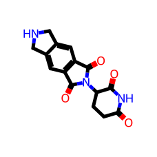 O=C1CCC(N2C(=O)c3cc4c(cc3C2=O)CNC4)C(=O)N1